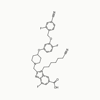 N#CCCCCCCn1c(CN2CCC(Oc3ccc(F)c(OCc4ccc(C#N)cc4F)c3)CC2)nc2c(F)cc(C(=O)O)cc21